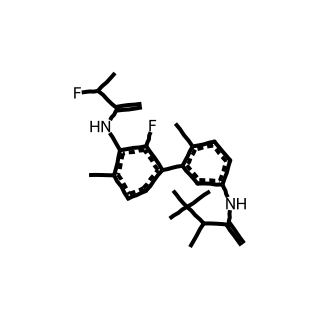 C=C(Nc1c(C)ccc(-c2cc(NC(=C)C(C)C(C)(C)C)ccc2C)c1F)C(C)F